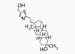 C[C@@]1(O)CC[C@H]2[C@H](CC[C@@H]3[C@@H]2CC[C@]2(C)[C@@H](CCc4ncc(CO)s4)CC[C@@H]32)C1